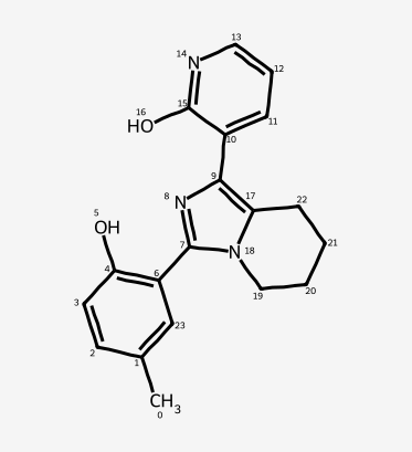 Cc1ccc(O)c(-c2nc(-c3cccnc3O)c3n2CCCC3)c1